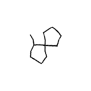 CC1CCCC12CCCC2